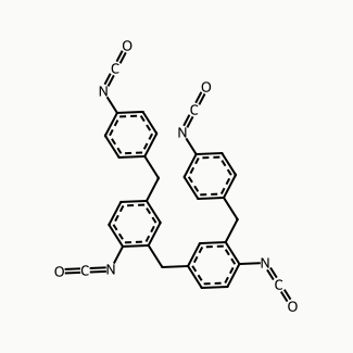 O=C=Nc1ccc(Cc2ccc(N=C=O)c(Cc3ccc(N=C=O)c(Cc4ccc(N=C=O)cc4)c3)c2)cc1